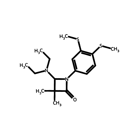 CCN(CC)C1N(c2ccc(SC)c(SC)c2)C(=O)C1(C)C